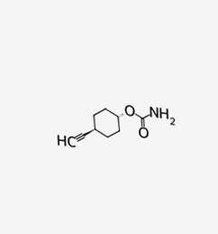 C#C[C@H]1CC[C@H](OC(N)=O)CC1